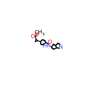 COC(=O)C1CC1c1ccc(C(=O)Nc2ccc3cnccc3c2)cc1